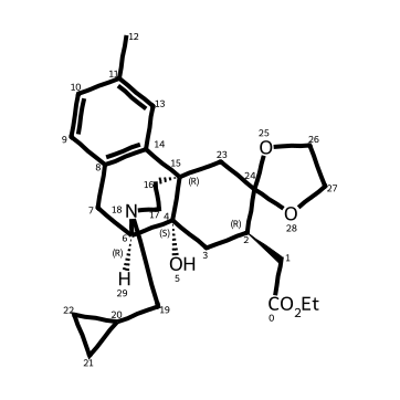 CCOC(=O)C[C@H]1C[C@@]2(O)[C@H]3Cc4ccc(C)cc4[C@@]2(CCN3CC2CC2)CC12OCCO2